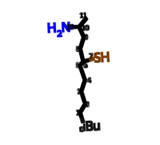 CCC(C)CCCCCC(S)CCC(C)N